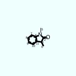 CC1C(=O)N(I)c2ccccc21